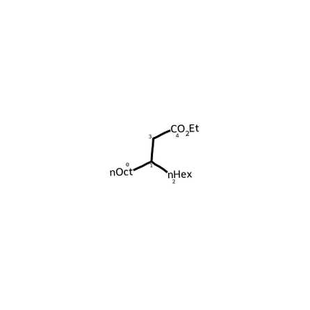 CCCCCCCCC(CCCCCC)CC(=O)OCC